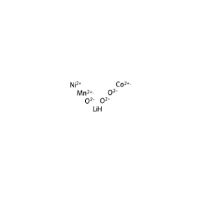 [Co+2].[LiH].[Mn+2].[Ni+2].[O-2].[O-2].[O-2]